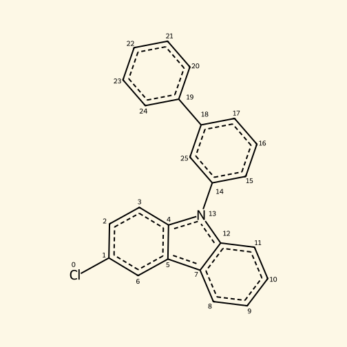 Clc1ccc2c(c1)c1ccccc1n2-c1cccc(-c2ccccc2)c1